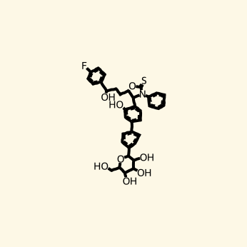 OCC1OC(c2ccc(-c3ccc(C4C(CCC(O)c5ccc(F)cc5)OC(=S)N4c4ccccc4)c(O)c3)cc2)C(O)C(O)C1O